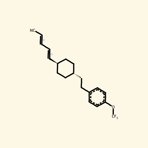 N#C/C=C/C=C/[C@H]1CC[C@H](CCc2ccc(OC(F)(F)F)cc2)CC1